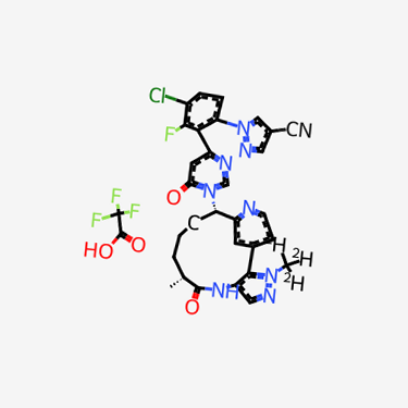 O=C(O)C(F)(F)F.[2H]C([2H])([2H])n1ncc2c1-c1ccnc(c1)[C@@H](n1cnc(-c3c(-n4cc(C#N)cn4)ccc(Cl)c3F)cc1=O)CCC[C@@H](C)C(=O)N2